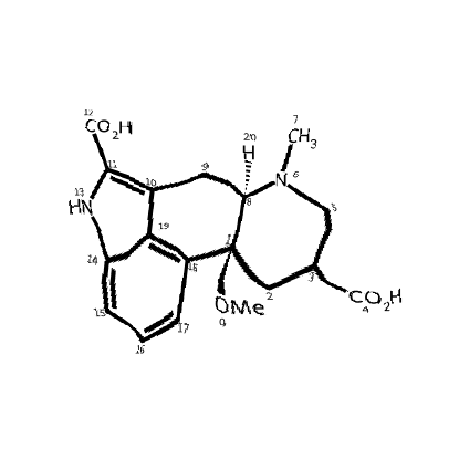 CO[C@]12CC(C(=O)O)CN(C)[C@@H]1Cc1c(C(=O)O)[nH]c3cccc2c13